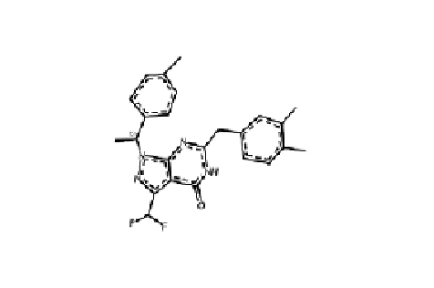 Cc1ccc([C@H](C)n2nc(C(F)F)c3c(=O)[nH]c(Cc4ccc(C)c(C)c4)nc32)cc1